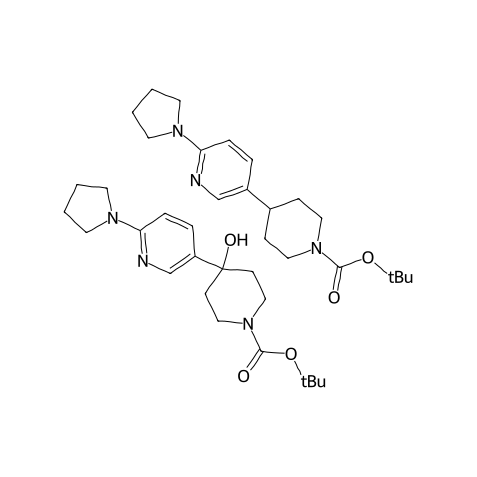 CC(C)(C)OC(=O)N1CCC(O)(c2ccc(N3CCCC3)nc2)CC1.CC(C)(C)OC(=O)N1CCC(c2ccc(N3CCCC3)nc2)CC1